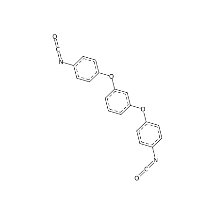 O=C=Nc1ccc(Oc2cccc(Oc3ccc(N=C=O)cc3)c2)cc1